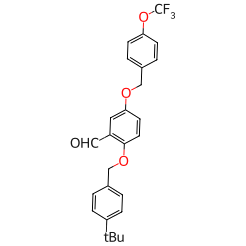 CC(C)(C)c1ccc(COc2ccc(OCc3ccc(OC(F)(F)F)cc3)cc2C=O)cc1